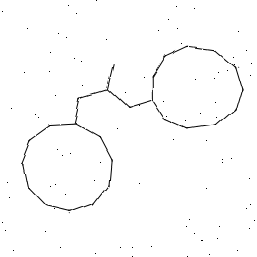 CC(CC1CCCC[CH]CCCCC1)CC1CCCC[CH]CCCCC1